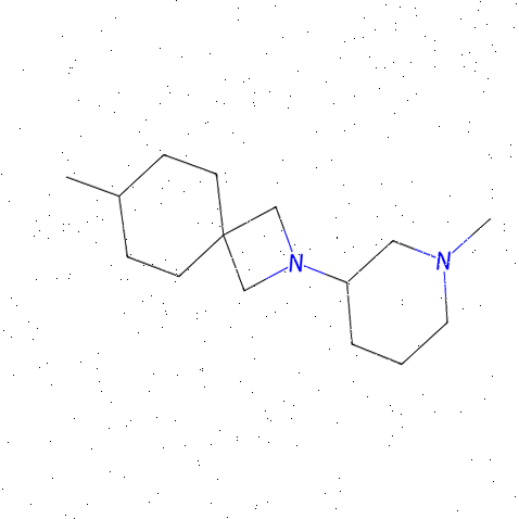 CC1CCC2(CC1)CN(C1CCCN(C)C1)C2